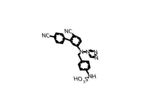 N#Cc1ccc(-c2cc(N(Cc3ccc(NS(=O)(=O)O)cc3)n3cnnc3)ccc2C#N)cc1